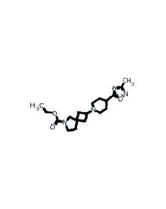 CCOC(=O)N1CCC2(CC(N3CCC(c4nc(C)no4)CC3)C2)C1